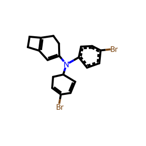 BrC1=CCC(N(C2=CC3=C(CC2)CC3)c2ccc(Br)cc2)C=C1